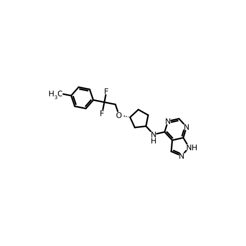 Cc1ccc(C(F)(F)CO[C@@H]2CCC(Nc3ncnc4[nH]ncc34)C2)cc1